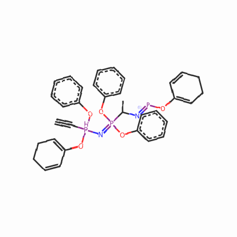 C#C[PH](N=P(Oc1ccccc1)(Oc1ccccc1)C(C)/N=P/OC1=CCCC=C1)(OC1=CCCC=C1)Oc1ccccc1